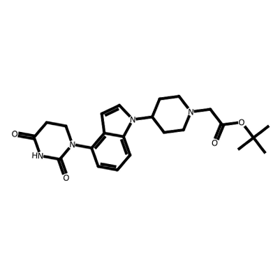 CC(C)(C)OC(=O)CN1CCC(n2ccc3c(N4CCC(=O)NC4=O)cccc32)CC1